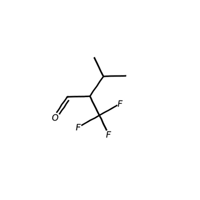 CC(C)C(C=O)C(F)(F)F